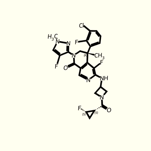 Cn1cc(F)c(N2C[C@](C)(c3cccc(Cl)c3F)c3c(cnc(NC4CN(C(=O)[C@@H]5C[C@@H]5F)C4)c3F)C2=O)n1